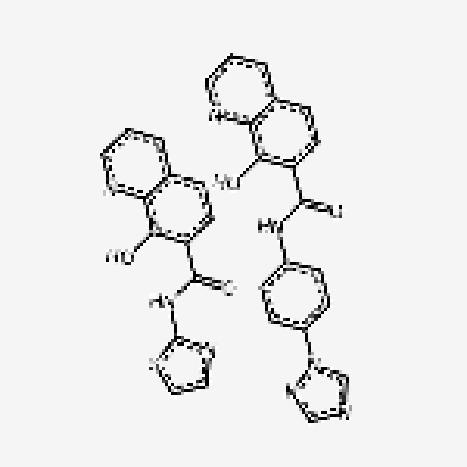 O=C(Nc1ccc(-n2cncn2)cc1)c1ccc2cccnc2c1O.O=C(Nc1nccs1)c1ccc2cccnc2c1O